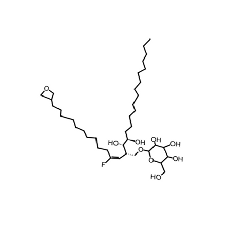 CCCCCCCCCCCCCC[C@@H](O)[C@@H](O)[C@@H](/C=C(/F)CCCCCCCCCCC1COC1)COC1OC(CO)C(O)C(O)C1O